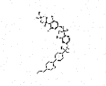 CCCC1CCC(C2CCC(C(F)(F)Oc3ccc(C(F)(F)Oc4cc(F)c(C(F)(F)OC(F)(F)F)c(F)c4)c(F)c3)CC2)OC1